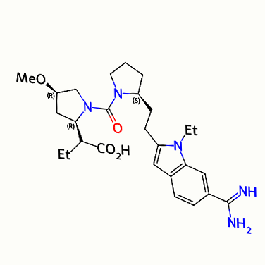 CCC(C(=O)O)[C@H]1C[C@@H](OC)CN1C(=O)N1CCC[C@H]1CCc1cc2ccc(C(=N)N)cc2n1CC